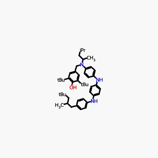 CC(C)CC(C)N(Cc1cc(C(C)(C)C)c(O)c(C(C)(C)C)c1)c1ccc(Nc2ccc(Nc3ccc(CC(C)CC(C)(C)C)cc3)cc2)cc1